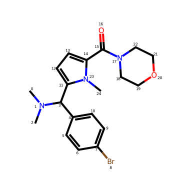 CN(C)C(c1ccc(Br)cc1)c1ccc(C(=O)N2CCOCC2)n1C